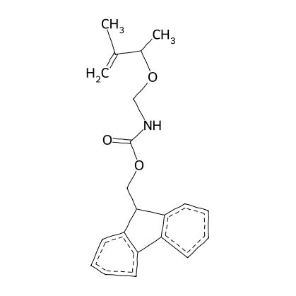 C=C(C)C(C)OCNC(=O)OCC1c2ccccc2-c2ccccc21